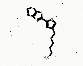 CCCCCCc1csc(-c2nc3ccsc3s2)c1